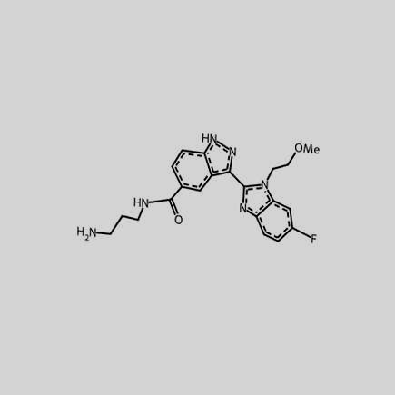 COCCn1c(-c2n[nH]c3ccc(C(=O)NCCCN)cc23)nc2ccc(F)cc21